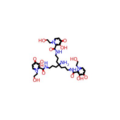 NC(CCCNC(=O)c1c(O)c(=O)ccn1CCO)(CCCNC(=O)c1c(O)c(=O)ccn1CCO)CCCNC(=O)c1c(O)c(=O)ccn1CCO